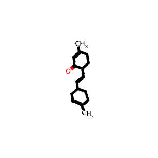 CC1=CCC(C=CC2CCC(C)=CC2=O)CC1